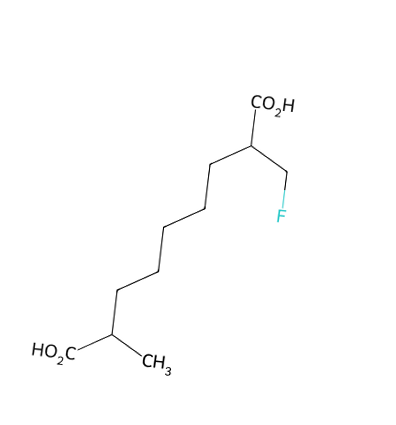 CC(CCCCCC(CF)C(=O)O)C(=O)O